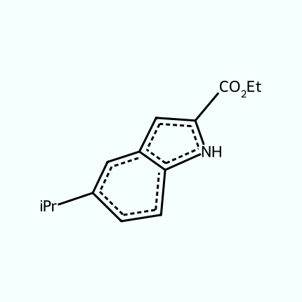 CCOC(=O)c1cc2cc(C(C)C)ccc2[nH]1